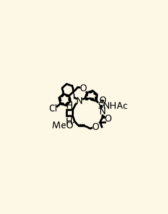 CO[C@H]1/C=C/COC(C)(C)C(=O)N=S(=O)(NC(C)=O)c2ccc3c(c2)N(C[C@@H]2CC[C@H]21)C[C@@]1(CCCc2cc(Cl)ccc21)CO3